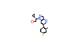 Cc1cc(F)ccc1-c1cnc2cnn([C@H](C=O)C3CC3)c2c1